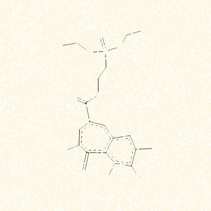 CCOP(=O)(CCNC(=O)c1cc(O)c(=O)c2c(O)c(O)c(C)cc2c1)OCC